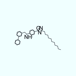 CCCCCCCCCCCc1noc(-c2ccc(C([NH])Cc3cccc(-c4ccccc4)c3)cc2)n1